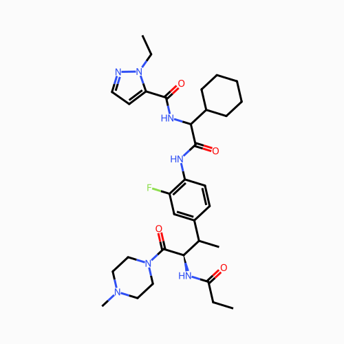 CCC(=O)N[C@@H](C(=O)N1CCN(C)CC1)C(C)c1ccc(NC(=O)C(NC(=O)c2ccnn2CC)C2CCCCC2)c(F)c1